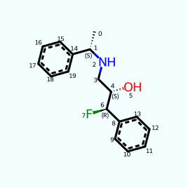 C[C@H](NC[C@H](O)[C@H](F)c1ccccc1)c1ccccc1